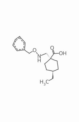 CC[C@H]1CC[C@@](CNOCc2ccccc2)(C(=O)O)CC1